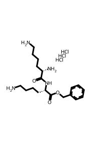 Cl.Cl.Cl.NCCCC[C@H](NC(=O)[C@@H](N)CCCCN)C(=O)OCc1ccccc1